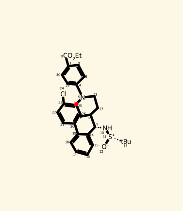 CCOC(=O)c1ccc(N2CCC([C@H](N[S@@+]([O-])C(C)(C)C)c3ccccc3-c3ccc(Cl)cc3)CC2)cc1